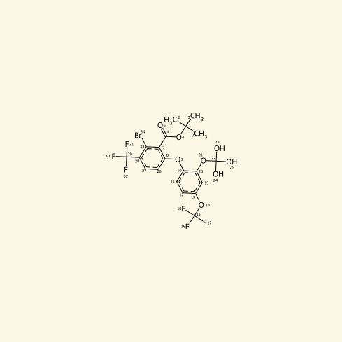 CC(C)(C)OC(=O)c1c(Oc2ccc(OC(F)(F)F)cc2OC(O)(O)O)ccc(C(F)(F)F)c1Br